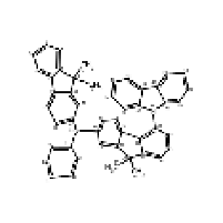 CC1(C)c2ccccc2-c2ccc(N(c3ccccc3)c3ccc4c(c3)C(C)(C)c3cccc(-n5c6ccccc6c6ccccc65)c3-4)cc21